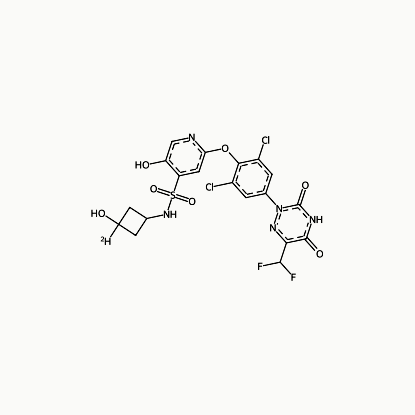 [2H]C1(O)CC(NS(=O)(=O)c2cc(Oc3c(Cl)cc(-n4nc(C(F)F)c(=O)[nH]c4=O)cc3Cl)ncc2O)C1